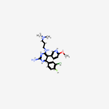 COc1ccc(-c2c(NCCCN(C)C)nc(N)nc2-c2ccc(F)c(Cl)c2)cn1